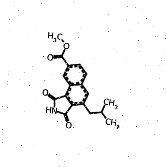 COC(=O)c1ccc2cc(CC(C)C)c3c(c2c1)C(=O)NC3=O